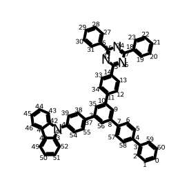 c1ccc(-c2ccc(-c3cc(-c4ccc(-c5nc(-c6ccccc6)nc(-c6ccccc6)n5)cc4)cc(-c4ccc(-n5c6ccccc6c6ccccc65)cc4)c3)cc2)cc1